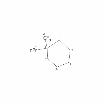 CCCC1(C(F)(F)F)CCCCC1